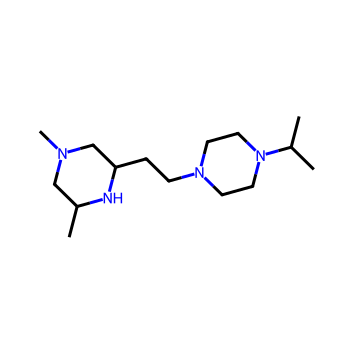 CC1CN(C)CC(CCN2CCN(C(C)C)CC2)N1